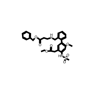 CCOC(=O)Cc1cc(-c2ccccc2CNCCC(=O)OCc2ccccc2)c(OC)cc1NS(C)(=O)=O